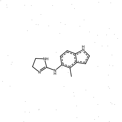 Cc1c(NC2=NCCN2)ccc2[nH]ccc12